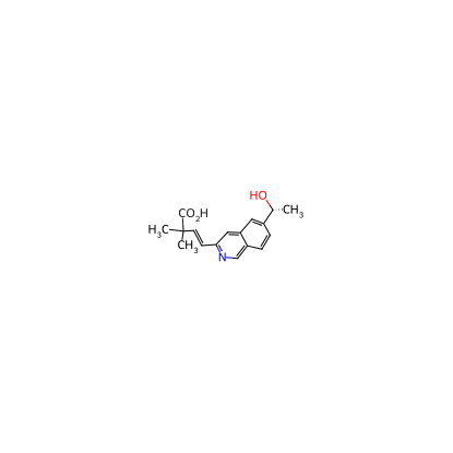 C[C@@H](O)c1ccc2cnc(C=CC(C)(C)C(=O)O)cc2c1